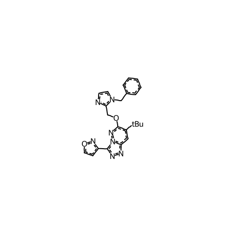 CC(C)(C)c1cc2nnc(-c3ccon3)n2nc1OCc1nccn1Cc1ccccc1